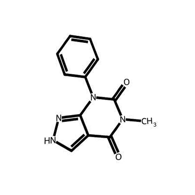 Cn1c(=O)c2c[nH]nc2n(-c2ccccc2)c1=O